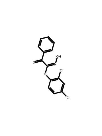 O=C(C(=NO)Oc1ccc(Cl)cc1Cl)c1ccccc1